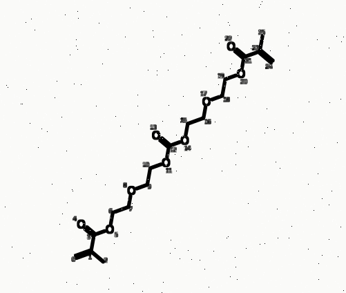 C=C(C)C(=O)OCCOCCOC(=O)OCCOCCOC(=O)C(=C)C